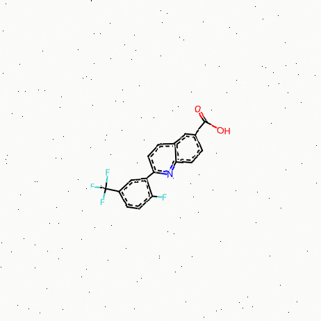 O=C(O)c1ccc2nc(-c3cc(C(F)(F)F)ccc3F)ccc2c1